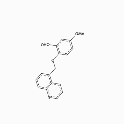 COc1ccc(OCc2cccc3ncccc23)c(C=O)c1